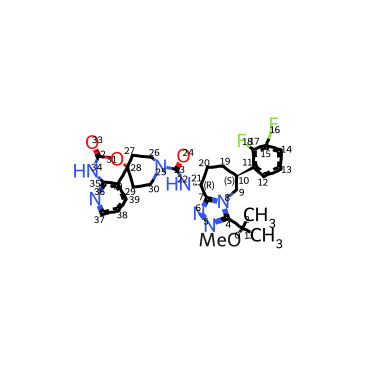 COC(C)(C)c1nnc2n1C[C@H](c1cccc(F)c1F)CC[C@H]2NC(=O)N1CCC2(CC1)OC(=O)Nc1ncccc12